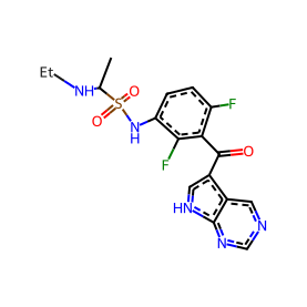 CCNC(C)S(=O)(=O)Nc1ccc(F)c(C(=O)c2c[nH]c3ncncc23)c1F